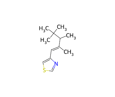 C/C(=C\c1cscn1)C(C)C(C)(C)C